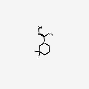 NC(=NO)N1CCCC(F)(F)C1